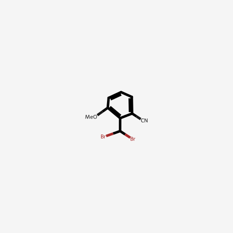 COc1cccc(C#N)c1C(Br)Br